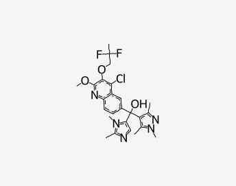 COc1nc2ccc(C(O)(c3c(C)nn(C)c3C)c3cnc(C)n3C)cc2c(Cl)c1OCC(C)(F)F